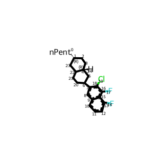 CCCCC[C@@H]1CC[C@@H]2CC(c3cc4cccc(F)c4c(F)c3Cl)CCC2C1